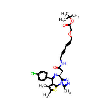 Cc1sc2c(c1C)C(c1ccc(Cl)cc1)=N[C@@H](CC(=O)NCC#CC#CCOCC(=O)OC(C)(C)C)c1nnc(C)n1-2